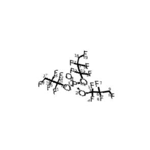 O=P(OC(F)(F)C(F)(F)CF)(OC(F)(F)C(F)(F)CF)OC(F)(F)C(F)(F)CF